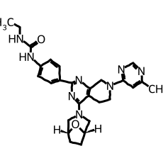 CCNC(=O)Nc1ccc(-c2nc3c(c(N4C[C@H]5CC[C@@H](C4)O5)n2)CCN(c2cc(C)ncn2)C3)cc1